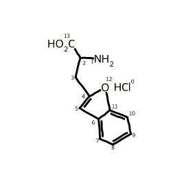 Cl.NC(Cc1cc2ccccc2o1)C(=O)O